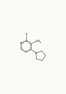 Cc1c(N2CCCC2)ccnc1F